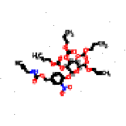 C#CCNC(=O)OCc1ccc(O[C@@H]2O[C@H](C(=O)OCC=C)[C@@H](OC(=O)OCC=C)[C@H](OC(=O)OCC=C)[C@H]2OC(=O)OCC=C)c([N+](=O)[O-])c1